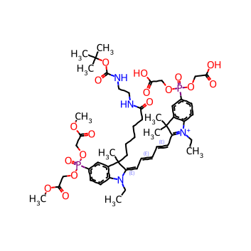 CCN1/C(=C/C=C/C=C/C2=[N+](CC)c3ccc(P(=O)(OCC(=O)O)OCC(=O)O)cc3C2(C)C)C(C)(CCCCCC(=O)NCCNC(=O)OC(C)(C)C)c2cc(P(=O)(OCC(=O)OC)OCC(=O)OC)ccc21